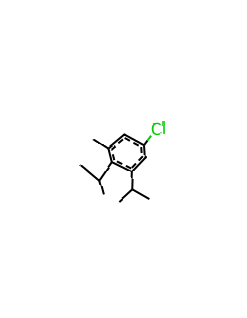 Cc1cc(Cl)cc(C(C)C)c1C(C)C